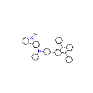 CC(C)N1c2ccc(N(c3ccccc3)c3ccc(-c4ccc5c(-c6ccccc6)c6ccccc6c(-c6ccccc6)c5c4)cc3)cc2C2C=CC=CC21